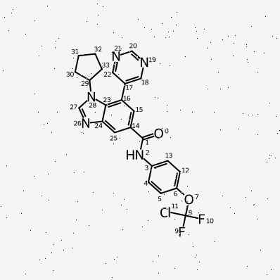 O=C(Nc1ccc(OC(F)(F)Cl)cc1)c1cc(-c2cncnc2)c2c(c1)ncn2C1CCCC1